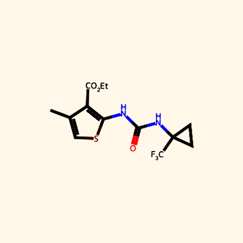 CCOC(=O)c1c(C)csc1NC(=O)NC1(C(F)(F)F)CC1